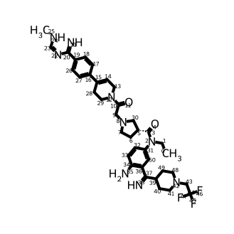 CCN(C(=O)[C@@H]1CCN(CC(=O)N2CC=C(c3ccc(C(=N)/N=C\NC)cc3)CC2)C1)c1ccc(N)c(C(=N)C2CCN(CC(F)(F)F)CC2)c1